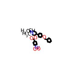 CC(C)(C)N1CCC(c2ccc(OCc3ccccc3)cc2)C(OC(=O)c2ccc([N+](=O)[O-])cc2)C1